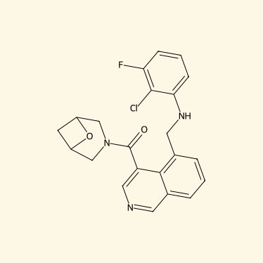 O=C(c1cncc2cccc(CNc3cccc(F)c3Cl)c12)N1CC2CC(C1)O2